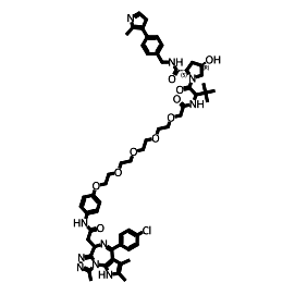 CC1=C(c2ccc(CNC(=O)[C@@H]3C[C@@H](O)CN3C(=O)C(NC(=O)COCCOCCOCCOCCOc3ccc(NC(=O)CC4N=C(c5ccc(Cl)cc5)c5c([nH]c(C)c5C)-n5c(C)nnc54)cc3)C(C)(C)C)cc2)CC=N1